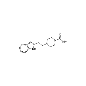 [NH]C(=O)N1CCN(CCc2cc3ccccc3[nH]2)CC1